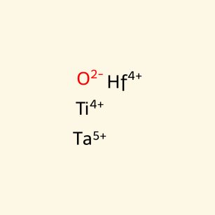 [Hf+4].[O-2].[Ta+5].[Ti+4]